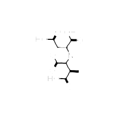 C=C(C(=O)O)C(N[C@@H](CC(=O)O)C(=O)O)C(=O)O